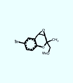 COCC1(C)Oc2ccc(Br)cc2C2OC21